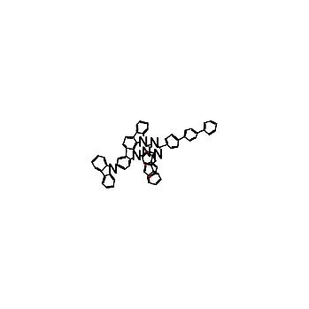 c1ccc(-c2ccc(-c3ccc(-c4nc(-c5ccccc5)nc(-n5c6ccccc6c6ccc7c8cc(-n9c%10ccccc%10c%10ccccc%109)ccc8n(-c8cccc(-c9ccccc9)c8)c7c65)n4)cc3)cc2)cc1